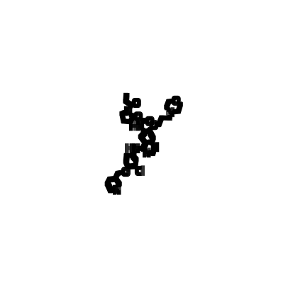 C=CC(=O)N1CCC[C@@H]1OC(=O)Nc1cc2c(Nc3ccc(OCc4cccnc4)c(Cl)c3)ncnc2cc1OCCCN1CCOCC1